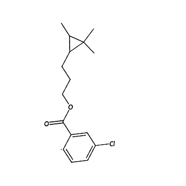 CC1C(CCCOC(=O)c2[c]ccc(Cl)c2)C1(C)C